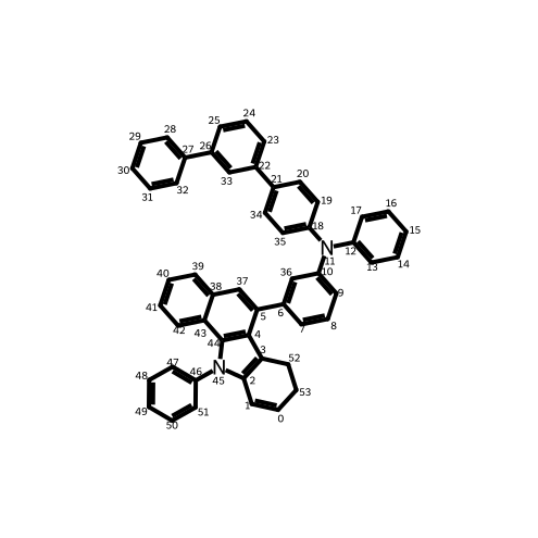 C1=Cc2c(c3c(-c4cccc(N(c5ccccc5)c5ccc(-c6cccc(-c7ccccc7)c6)cc5)c4)cc4ccccc4c3n2-c2ccccc2)CC1